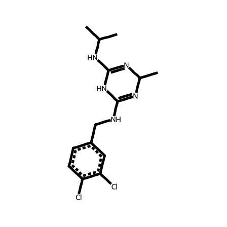 CC1N=C(NCc2ccc(Cl)c(Cl)c2)NC(NC(C)C)=N1